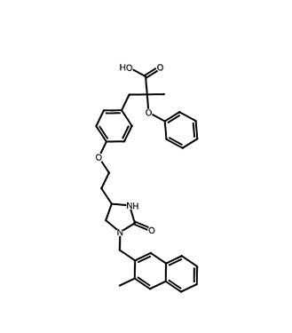 Cc1cc2ccccc2cc1CN1CC(CCOc2ccc(CC(C)(Oc3ccccc3)C(=O)O)cc2)NC1=O